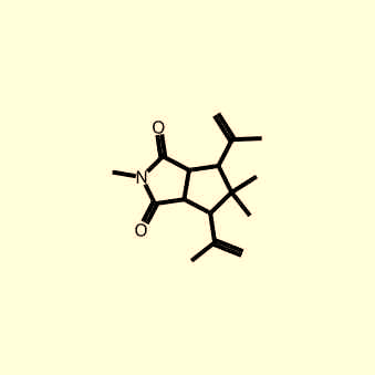 C=C(C)C1C2C(=O)N(C)C(=O)C2C(C(=C)C)C1(C)C